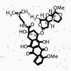 COc1cccc2c1C(=O)c1c(O)c3c(c(O)c1C2=O)C[C@@](O)(C(=O)NCCN(C)C)C[C@@H]3O[C@H]1C[C@H]2[C@H](O[C@@H]3[C@@H](OC)OCCN32)[C@H](C)O1